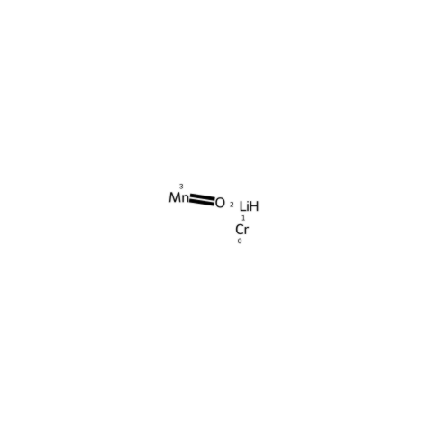 [Cr].[LiH].[O]=[Mn]